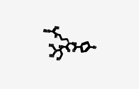 CNC(=N)NCCC[C@H](NC(=O)c1ccc(Br)cc1)C(=O)N[C@@H](CC(C)C)B(O)O